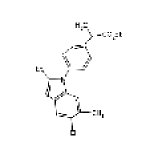 CCOC(=O)C(C)c1ccc(-n2c(CC)nc3cc(Cl)c(C)cc32)cc1